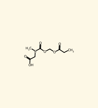 CCC(=O)OCOC(=O)N(C)CC(=O)O